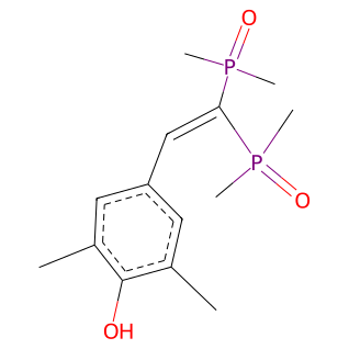 Cc1cc(C=C(P(C)(C)=O)P(C)(C)=O)cc(C)c1O